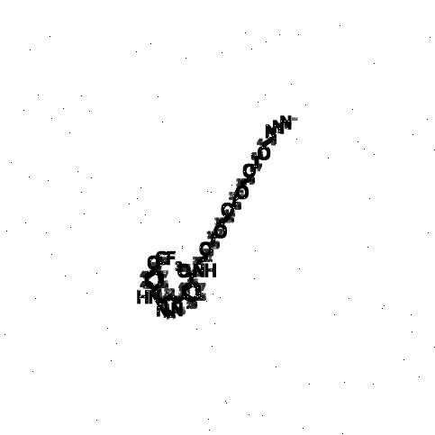 [N-]=[N+]=NCCOCCOCCOCCOCCOCCOCCNC(=O)c1cccc(-c2cc(Nc3ccc(OC(F)(F)F)cc3)ncn2)c1